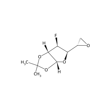 CC1(C)O[C@H]2O[C@H]([C@@H]3CO3)[C@H](F)[C@H]2O1